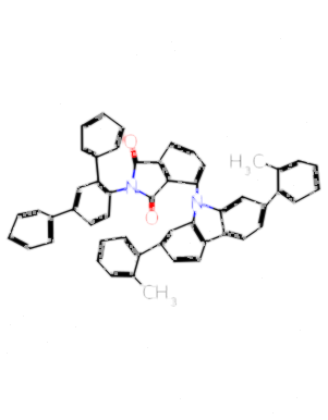 Cc1ccccc1-c1ccc2c3ccc(-c4ccccc4C)cc3n(-c3cccc4c3C(=O)N(c3ccc(-c5ccccc5)cc3-c3ccccc3)C4=O)c2c1